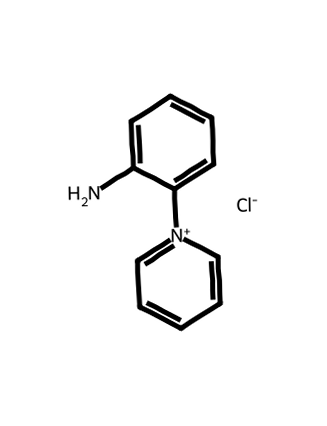 Nc1ccccc1-[n+]1ccccc1.[Cl-]